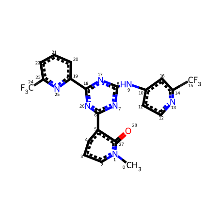 Cn1cccc(-c2nc(Nc3ccnc(C(F)(F)F)c3)nc(-c3cccc(C(F)(F)F)n3)n2)c1=O